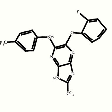 Fc1ccccc1Oc1nc2nc(C(F)(F)F)[nH]c2nc1Nc1ccc(C(F)(F)F)cc1